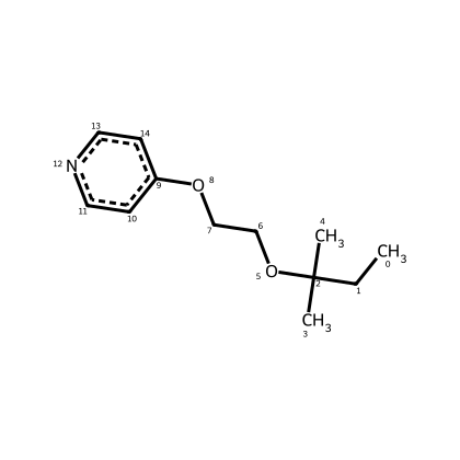 CCC(C)(C)OCCOc1ccncc1